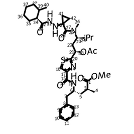 COC(=O)[C@@H](C)C[C@H](Cc1ccccc1)NC(=O)c1csc([C@@H](C[C@H](C(C)C)N(C)C(=O)C2(NNC(=O)[C@H]3CCCCC3C)CC2)OC(C)=O)n1